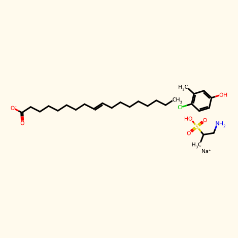 CC(CN)S(=O)(=O)O.CCCCCCCCC=CCCCCCCCC(=O)[O-].Cc1cc(O)ccc1Cl.[Na+]